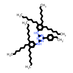 [CH2]Cc1ccc(-c2nc(Nc3cc(CCCCCCC)c(CCCCCCC)c(CCCCCCC)c3)nc(Nc3cc(CCCCCCC)c(CCCCCCC)c(CCCCCCC)c3)n2)cc1